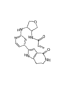 C=CC(=O)NC1COCC1Nc1nccc(-c2cc3c([nH]2)CCNC3=O)n1